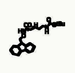 CC(C)(C)OC(=O)NCCCC[C@H](NOCC1c2ccccc2-c2ccccc21)C(=O)O